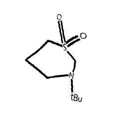 CC(C)(C)N1CCCS(=O)(=O)C1